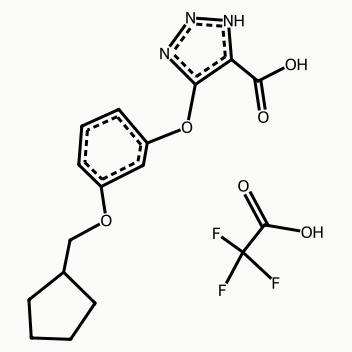 O=C(O)C(F)(F)F.O=C(O)c1[nH]nnc1Oc1cccc(OCC2CCCC2)c1